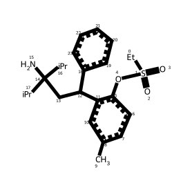 CCS(=O)(=O)Oc1ccc(C)cc1C(CC(N)(C(C)C)C(C)C)c1ccccc1